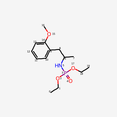 CCOP(=O)(NC(C)Cc1ccccc1OC)OCC